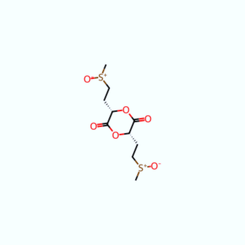 C[S+]([O-])CC[C@@H]1OC(=O)[C@H](CC[S+](C)[O-])OC1=O